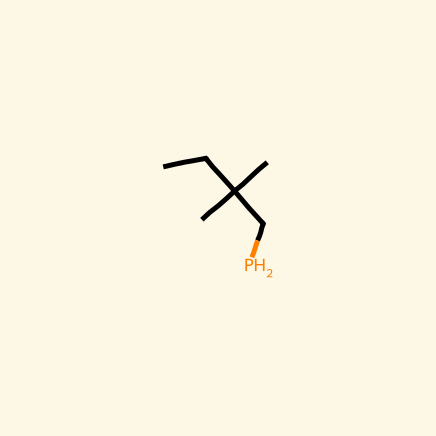 CCC(C)(C)CP